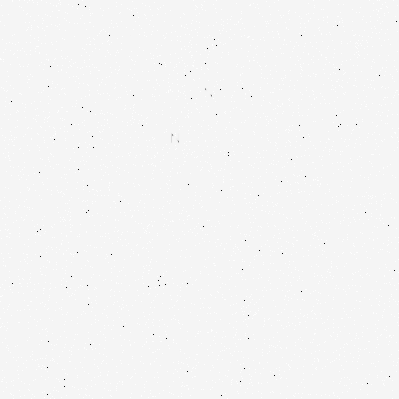 c1ccc(-c2cccc(-c3ccc(-c4cc(-c5ccc6ccccc6c5)nc(-c5ccc6ccccc6c5)n4)cc3)c2)cc1